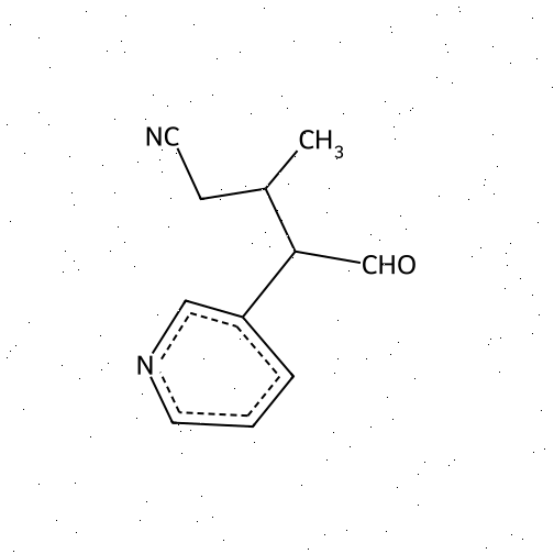 CC(CC#N)C(C=O)c1cccnc1